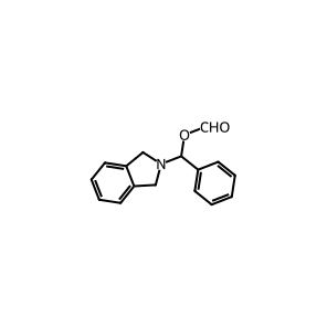 O=COC(c1ccccc1)N1Cc2ccccc2C1